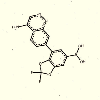 Nc1cnnc2cc(-c3cc(B(O)O)cc4c3OC(F)(F)O4)ccc12